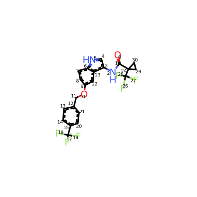 O=C(Nc1c[nH]c2ccc(OCc3ccc(C(F)(F)F)cc3)cc12)C1(C(F)(F)F)CC1